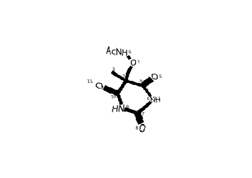 CC(=O)NOC1(C)C(=O)NC(=O)NC1=O